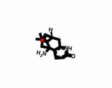 C/C=C1\[C@@H]2C=C(C)CC1(N)c1ccc(=O)[nH]c1C2